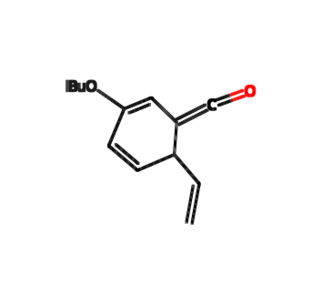 C=CC1C=CC(OCC(C)C)=CC1=C=O